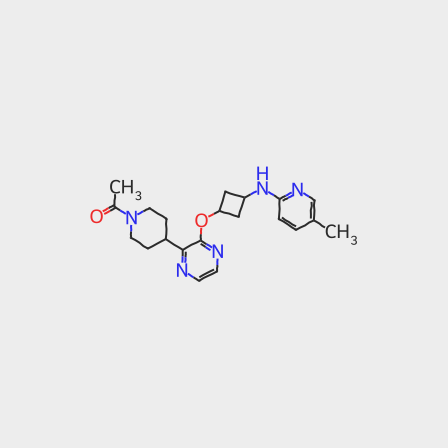 CC(=O)N1CCC(c2nccnc2OC2CC(Nc3ccc(C)cn3)C2)CC1